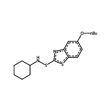 CCCCOc1ccc2sc(SNC3CCCCC3)nc2c1